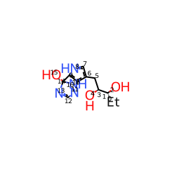 CC[C@@H](O)[C@@H](O)Cc1c[nH]c2c1N1C=NC2(O)N1